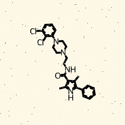 Cc1[nH]c(-c2ccccc2)c(C)c1C(=O)NCCN1CCN(c2cccc(Cl)c2Cl)CC1